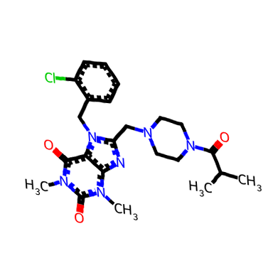 CC(C)C(=O)N1CCN(Cc2nc3c(c(=O)n(C)c(=O)n3C)n2Cc2ccccc2Cl)CC1